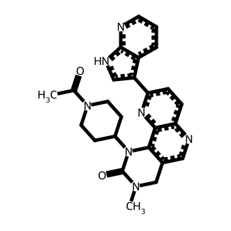 CC(=O)N1CCC(N2C(=O)N(C)Cc3cnc4ccc(-c5c[nH]c6ncccc56)nc4c32)CC1